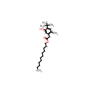 CCCCCCCCCCCCOC(=O)Cc1cc(O)c(C(C)(C)C)cc1C